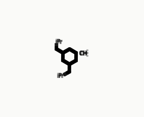 CC(C)CC1CCCC(CC(C)C)C1.[CH]